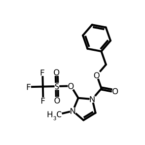 CN1C=CN(C(=O)OCc2ccccc2)C1OS(=O)(=O)C(F)(F)F